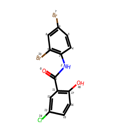 O=C(Nc1ccc(Br)cc1Br)c1cc(Cl)ccc1O